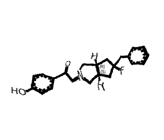 O=C(CN1C[C@@H]2CC(F)(Cc3ccccc3)C[C@@H]2C1)c1ccc(O)cc1